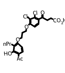 CCCc1c(OCCCOc2ccc(C(=O)CCC(=O)O)c(Cl)c2Cl)ccc(C(C)=O)c1O